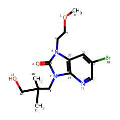 COCCn1c(=O)n(CC(C)(C)CO)c2ncc(Br)cc21